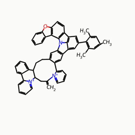 C=C1CC2C(CCc3cc4c(cc3-c3cccc[n+]31)c1cc(-c3c(C)cc(C)cc3C)cc3c5ccc6oc7ccccc7c6c5n4c13)c1ccccc1-c1cccc[n+]12